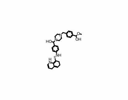 COC(O)c1ccc(CN2CCN(C(O)c3ccc(NSC4=C5NC=CCC5=CCC4)cc3)CC2)cc1